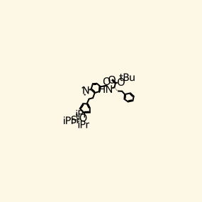 CC(C)[Si](Oc1ccc(CCc2cc(C(=O)N[C@@H](CCc3ccccc3)C(=O)OC(C)(C)C)ccc2N(C)C)cc1)(C(C)C)C(C)C